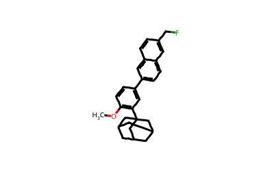 COc1ccc(-c2ccc3cc(CF)ccc3c2)cc1C12CC3CC(CC(C3)C1)C2